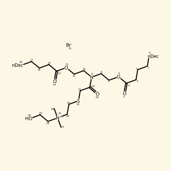 CCCCCCCCCCCCCC(=O)OCCN(CCOC(=O)CCCCCCCCCCCCC)C(=O)CSCC[N+](C)(C)CCO.[Br-]